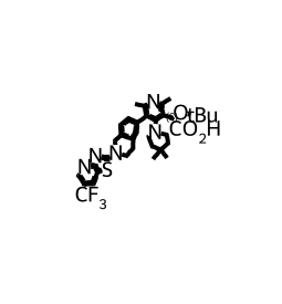 Cc1nc(C)c([C@H](OC(C)(C)C)C(=O)O)c(N2CCC(C)(C)CC2)c1-c1ccc2c(c1)CCN(c1nc3ncc(C(F)(F)F)cc3s1)C2